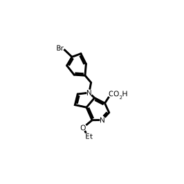 CCOc1ncc(C(=O)O)c2c1ccn2Cc1ccc(Br)cc1